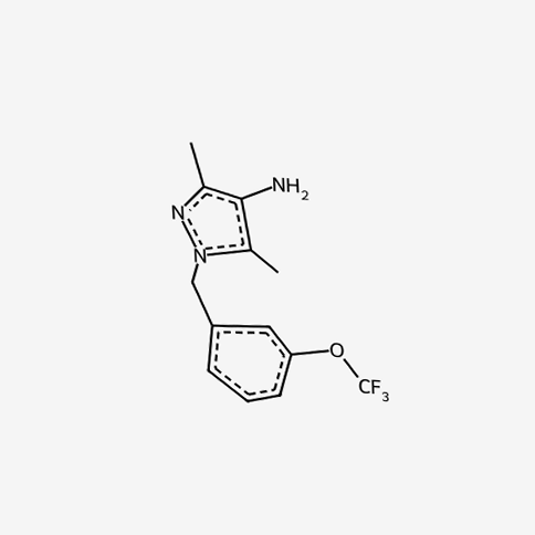 Cc1nn(Cc2cccc(OC(F)(F)F)c2)c(C)c1N